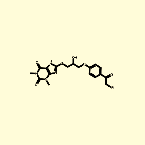 CC(C)CC(=O)c1ccc(OCC(O)CSc2nc3c([nH]2)c(=O)n(C)c(=O)n3C)cc1